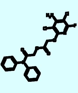 Nc1c(Cl)c(F)nc(OCC(=O)OCC(=O)N(c2ccccc2)c2ccccc2)c1Cl